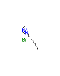 C=C[n+]1ccn(CCCCCCCCCC)c1.[Br-]